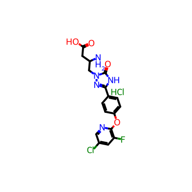 Cl.NC(CC(=O)O)Cn1nc(-c2ccc(Oc3ncc(Cl)cc3F)cc2)[nH]c1=O